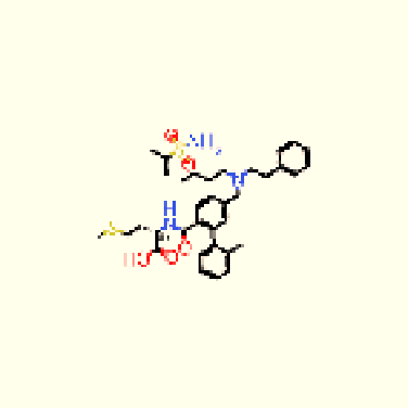 CC(C)S(N)(=O)=O.CCCCN(CCc1ccccc1)Cc1ccc(C(=O)N[C@@H](CCSC)C(=O)O)c(-c2ccccc2C)c1